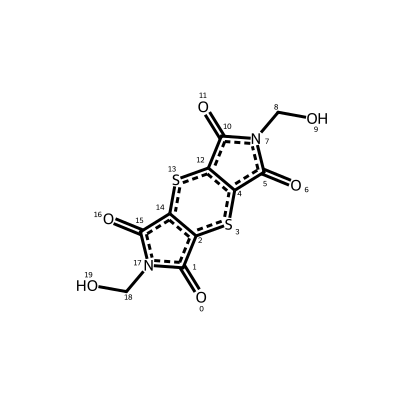 O=c1c2sc3c(=O)n(CO)c(=O)c3sc2c(=O)n1CO